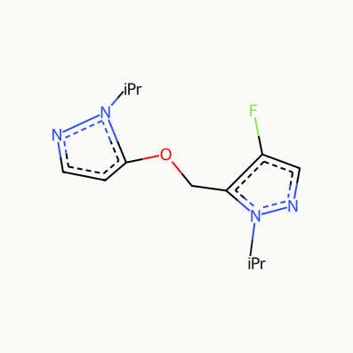 CC(C)n1nccc1OCc1c(F)cnn1C(C)C